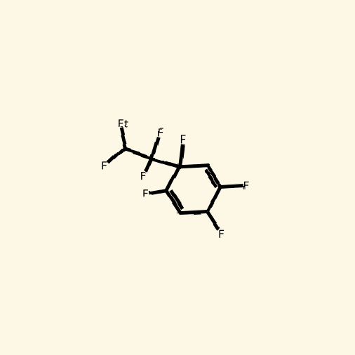 CCC(F)C(F)(F)C1(F)C=C(F)C(F)[C]=C1F